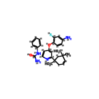 CC1(C(=O)O)C=CCC(C(=O)O)(c2cc(Oc3ccc(N)cc3F)ccn2)C1.NC(=O)Nc1ccccc1